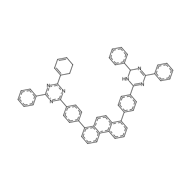 C1=CCCC(c2nc(-c3ccccc3)nc(-c3ccc(-c4cccc5c4ccc4c(-c6ccc(C7=NC(c8ccccc8)=NC(c8ccccc8)N7)cc6)cccc45)cc3)n2)=C1